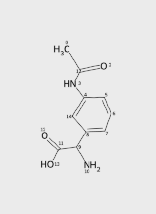 CC(=O)Nc1cccc(C(N)C(=O)O)c1